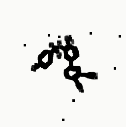 Cc1ccc(-c2ccc(C#N)c(C#N)c2)cc1NS(=O)(=O)c1ccc(Cl)cc1